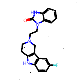 O=c1[nH]c2ccccc2n1CCN1CCc2[nH]c3ccc(F)cc3c2C1